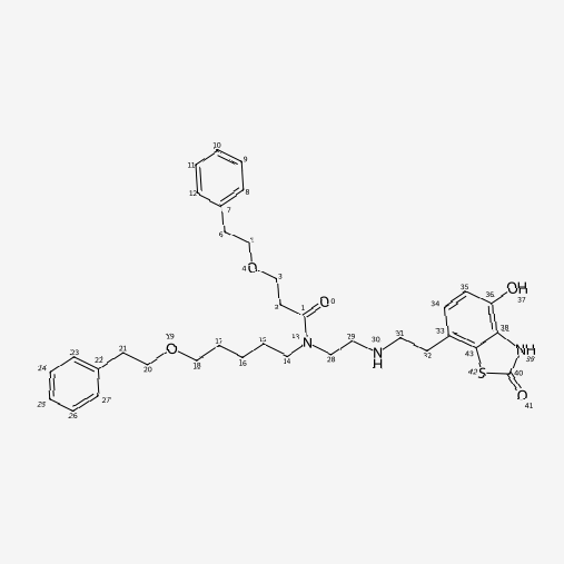 O=C(CCOCCc1ccccc1)N(CCCCCOCCc1ccccc1)CCNCCc1ccc(O)c2[nH]c(=O)sc12